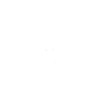 CCCN1C=CN(C2OCCO2)N(c2ccc(Cl)cc2Cl)C1C